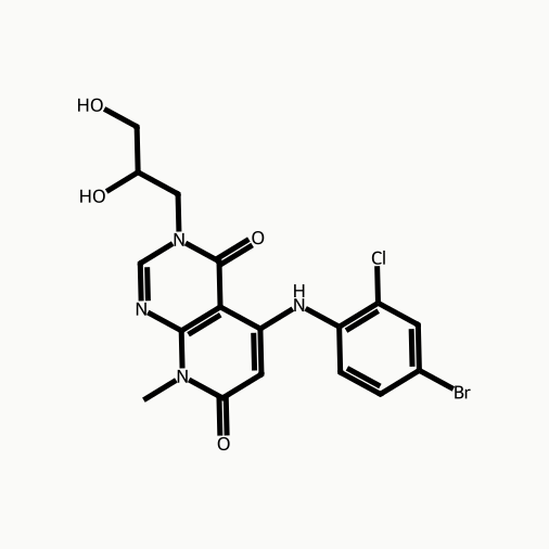 Cn1c(=O)cc(Nc2ccc(Br)cc2Cl)c2c(=O)n(CC(O)CO)cnc21